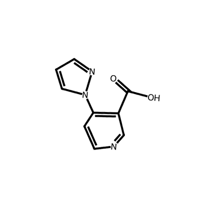 O=C(O)c1cnccc1-n1cccn1